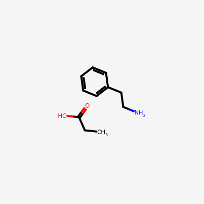 CCC(=O)O.NCCc1ccccc1